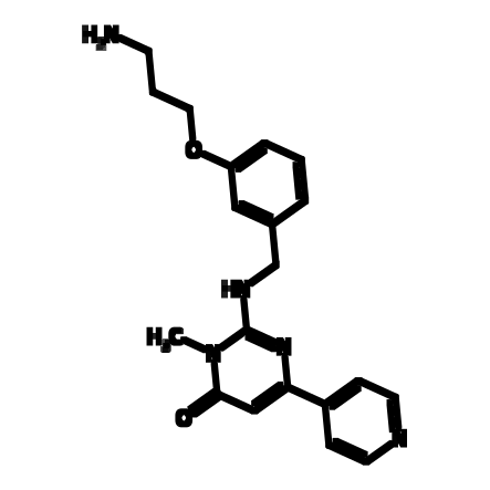 Cn1c(NCc2cccc(OCCCN)c2)nc(-c2ccncc2)cc1=O